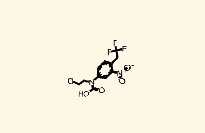 O=C(O)N(CCCl)c1ccc(CC(F)(F)F)c([N+](=O)[O-])c1